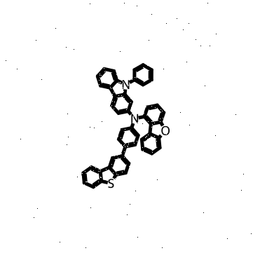 c1ccc(-n2c3ccccc3c3ccc(N(c4ccc(-c5ccc6sc7ccccc7c6c5)cc4)c4cccc5oc6ccccc6c45)cc32)cc1